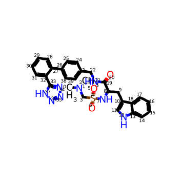 CN(C)CS(=O)(=O)NC(Cc1c[nH]c2ccccc12)C(=O)NCc1ccc(-c2ccccc2-c2nnn[nH]2)cc1